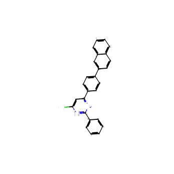 Clc1cc(-c2ccc(-c3ccc4ccccc4c3)cc2)nc(-c2ccccc2)n1